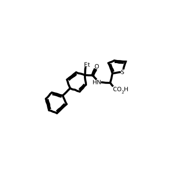 CCC1(C(=O)NC(C(=O)O)c2cccs2)C=CC(c2ccccc2)C=C1